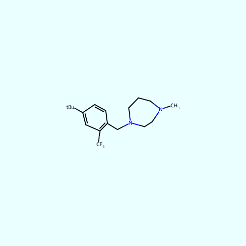 CN1CCCN(Cc2ccc(C(C)(C)C)cc2C(F)(F)F)CC1